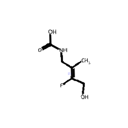 C/C(CNC(=O)O)=C(/F)CO